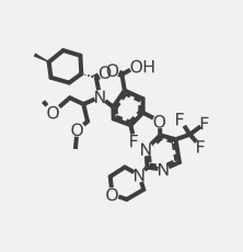 COCC(COC)N(c1cc(F)c(Oc2nc(N3CCOCC3)ncc2C(F)(F)F)cc1C(=O)O)C(=O)[C@H]1CC[C@H](C)CC1